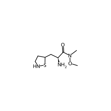 CON(C)C(=O)[C@@H](N)CC1CCNS1